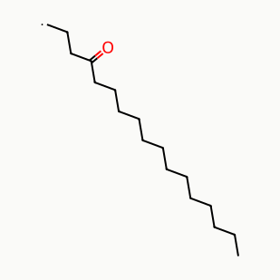 [CH2]CCC(=O)CCCCCCCCCCCCC